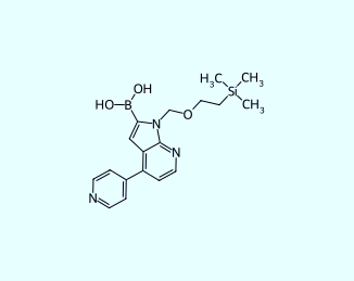 C[Si](C)(C)CCOCn1c(B(O)O)cc2c(-c3ccncc3)ccnc21